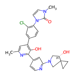 Cc1cc(-c2ccc(-n3ccn(C)c3=O)c(Cl)c2)c(O)c(-c2ccnc(N3C[C@H](O)C4(CC4)C3)c2)n1